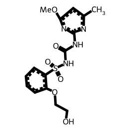 COc1cc(C)nc(NC(=O)NS(=O)(=O)c2ccccc2OCCO)n1